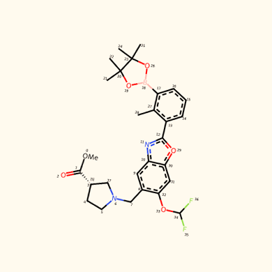 COC(=O)[C@H]1CCN(Cc2cc3nc(-c4cccc(B5OC(C)(C)C(C)(C)O5)c4C)oc3cc2OC(F)F)C1